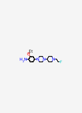 CCOc1cc(N2CCN(C3CCN(CCF)CC3)CC2)ccc1N